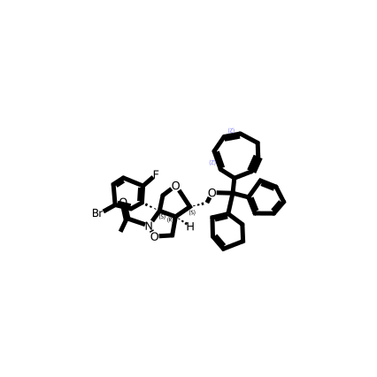 CC(=O)N1OC[C@@H]2[C@@H](COC(C3=CC=CCC3)(c3ccccc3)C3C#CC/C=C\C=C/3)OC[C@@]21c1cc(Br)ccc1F